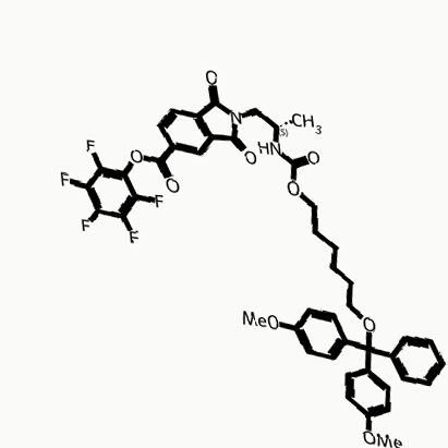 COc1ccc(C(OCCCCCCOC(=O)N[C@@H](C)CN2C(=O)c3ccc(C(=O)Oc4c(F)c(F)c(F)c(F)c4F)cc3C2=O)(c2ccccc2)c2ccc(OC)cc2)cc1